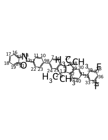 CC1(C)C2=C(c3ccc(-c4ccc(-c5nc6ccccc6o5)cc4)cc31)C(C)(C)c1cc(-c3cc(F)cc(F)c3)ccc12